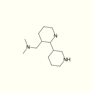 CN(C)CC1CCC[N]C1C1CCCNC1